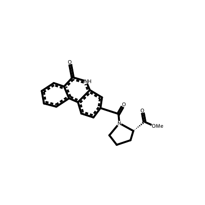 COC(=O)[C@@H]1CCCN1C(=O)c1ccc2c(c1)[nH]c(=O)c1ccccc12